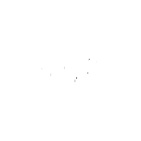 O=c1ccn([C@@H]2O[C@@H](CCl)[C@@H](O)[C@H]2F)c(=O)[nH]1